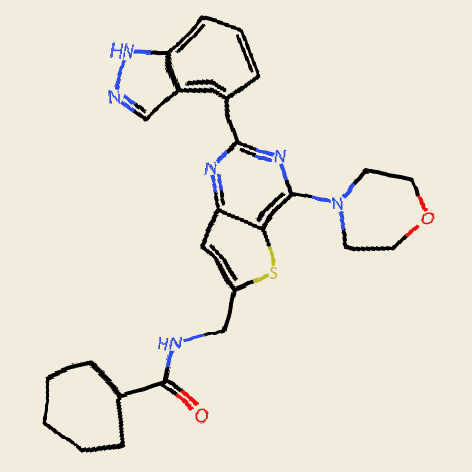 O=C(NCc1cc2nc(-c3cccc4[nH]ncc34)nc(N3CCOCC3)c2s1)C1CCCCC1